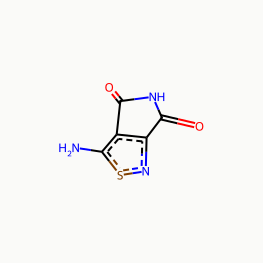 Nc1snc2c1C(=O)NC2=O